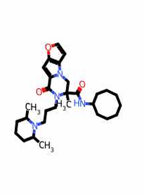 CC1CCCC(C)N1CCCN1C(=O)c2cc3occc3n2CC1(C)C(=O)NC1CCCCCCC1